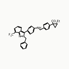 CCOC(=O)C1(c2ccc(CNc3ccc(-c4c5cccc(C(F)(F)F)c5nn4Cc4ccccc4)cc3)cc2)CC1